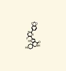 O=C1NCC2(CCNCC2)c2[nH]c(-c3nc(-c4ccc5c(c4)OCO5)ncc3F)cc21